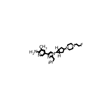 Cc1cc(-c2cn([C@H]3[C@@H]4CC(N5CCN(CCF)CC5)C[C@@H]43)c(CC(C)C)n2)cnc1N